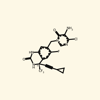 Nc1c(Cl)ncn(Cc2cc3c(cc2F)[C@@](C#CC2CC2)(C(F)(F)F)NC(=O)N3)c1=O